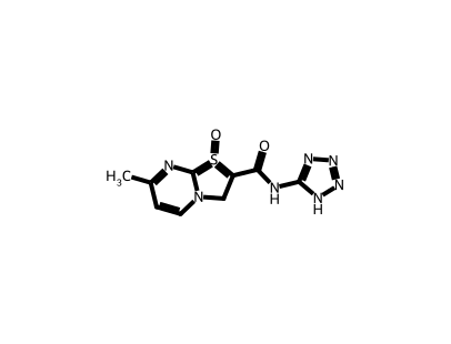 CC1=NC2=S(=O)=C(C(=O)Nc3nnn[nH]3)CN2C=C1